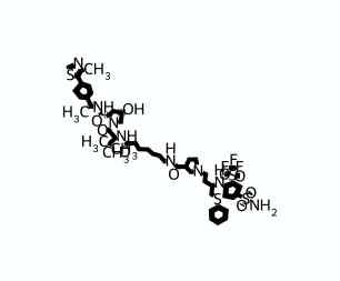 Cc1ncsc1-c1ccc([C@H](C)NC(=O)[C@@H]2C[C@@H](O)CN2C(=O)C(NC(=O)CCCCCCNC(=O)C2CCN(CCC(CSc3ccccc3)Nc3ccc(S(N)(=O)=O)cc3S(=O)(=O)C(F)(F)F)C2)C(C)(C)C)cc1